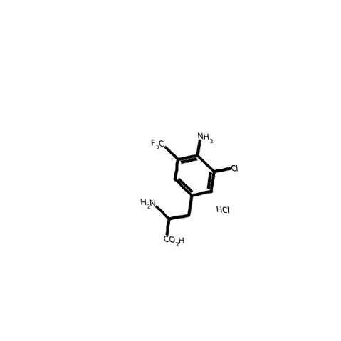 Cl.Nc1c(Cl)cc(CC(N)C(=O)O)cc1C(F)(F)F